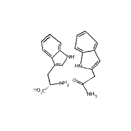 NC(=O)Cc1cc2ccccc2[nH]1.N[C@@H](Cc1c[nH]c2ccccc12)C(=O)O